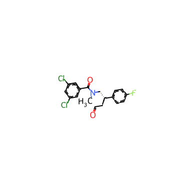 CN(C[C@@H](CC=O)c1ccc(F)cc1)C(=O)c1cc(Cl)cc(Cl)c1